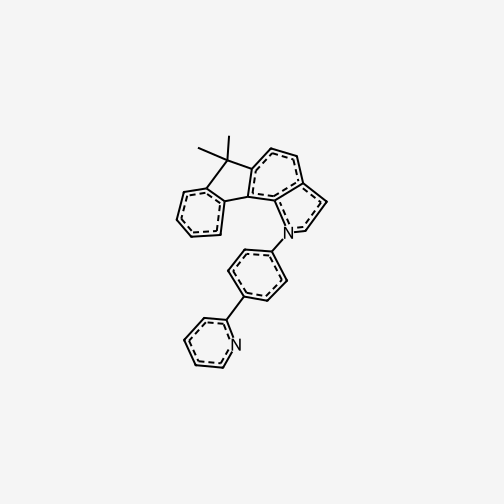 CC1(C)c2ccccc2-c2c1ccc1ccn(-c3ccc(-c4ccccn4)cc3)c21